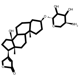 C[C@]12CC[C@H](O[C@H]3OC[C@H](N)C(O)C3O)CC1CCC1C2CC[C@]2(C)[C@@H](C3=CC(=O)OC3)CC[C@]12O